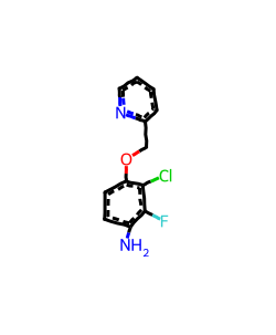 Nc1ccc(OCc2ccccn2)c(Cl)c1F